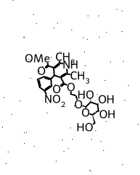 COC(=O)C1=C(C)NC(C)=C(C(=O)OCCO[C@@H]2O[C@H](CO)[C@@H](O)[C@H](O)[C@H]2O)C1c1cccc([N+](=O)[O-])c1